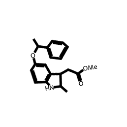 COC(=O)CC1c2cc(OC(C)c3ccccc3)ccc2NC1C